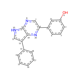 Oc1cccc(-c2cnc3[nH]cc(-c4ccccc4)c3n2)c1